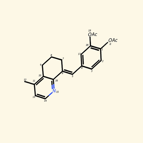 CC(=O)Oc1ccc(/C=C2\CCCc3c(C)ccnc32)cc1OC(C)=O